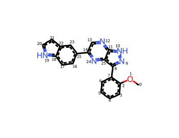 COc1ccccc1-c1n[nH]c2ncc(-c3ccc4[nH]ccc4c3)nc12